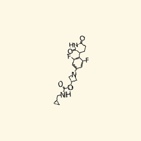 O=C1CCC(c2c(F)cc(N3CC(OC(=O)NCC4CC4)C3)cc2F)C(=O)N1